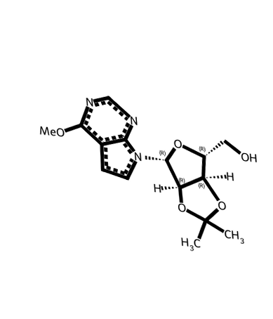 COc1ncnc2c1ccn2[C@@H]1O[C@H](CO)[C@H]2OC(C)(C)O[C@H]21